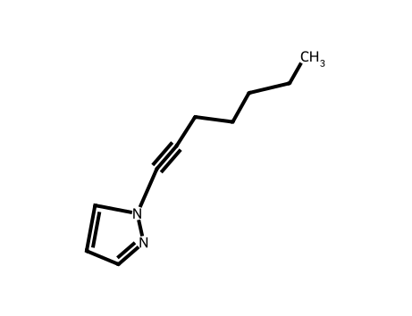 CCCCCC#Cn1cccn1